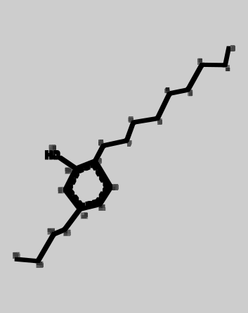 CCCCCCCCCc1ccc(CCCC)cc1O